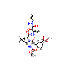 C=CCNC(=O)C(=O)C(CCC)NC(=O)C1C2C(CN1C(=O)[C@H](NC(=O)OC(C)(C)C)C1CCCC(C(=O)OC(C)(C)C)C1)C2(C)C